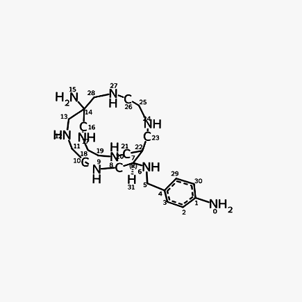 Nc1ccc(CN[C@H]2CNCCNCC3(N)CNCCNCC2CNCCNC3)cc1